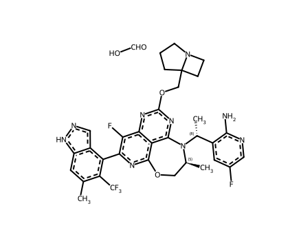 Cc1cc2[nH]ncc2c(-c2nc3c4c(nc(OCC56CCCN5CC6)nc4c2F)N([C@H](C)c2cc(F)cnc2N)[C@@H](C)CO3)c1C(F)(F)F.O=CO